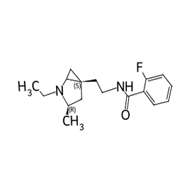 CCN1C2C[C@]2(CCNC(=O)c2ccccc2F)C[C@H]1C